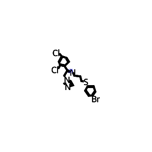 Clc1ccc(/C(Cn2ccnc2)=N/CCCSc2ccc(Br)cc2)c(Cl)c1